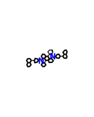 C1=CC(N(c2ccccc2)c2ccc(-c3cccc4ccccc34)cc2)=C(c2ccc(-c3ccccc3N(c3ccccc3)c3ccc(-c4cccc5ccccc45)cc3)cc2)CC1